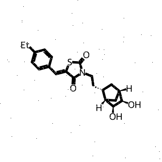 CCc1ccc(/C=C2\SC(=O)N(CC[C@@H]3C[C@H]4C[C@@H]3[C@H](O)[C@@H]4O)C2=O)cc1